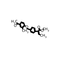 CC=C(C(=O)OC)c1ccc(COc2ccc(C(C)=O)cc2C)cc1